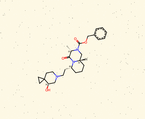 C[C@H]1C(=O)N2[C@@H](CCN3CCC4(CC4)[C@H](O)C3)CCC[C@H]2CN1C(=O)OCc1ccccc1